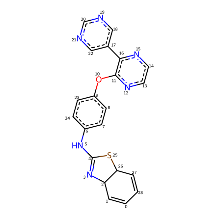 C1=CC2N=C(Nc3ccc(Oc4nccnc4-c4cncnc4)cc3)SC2C=C1